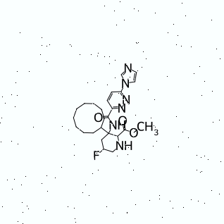 COC(=O)C1NCC(F)CC1(NC(=O)c1ccc(-n2ccnc2)nn1)C1CCCCCCCCC1